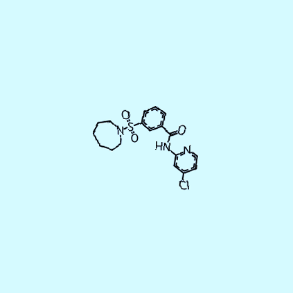 O=C(Nc1cc(Cl)ccn1)c1cccc(S(=O)(=O)N2CCCCCC2)c1